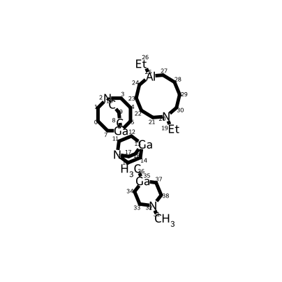 C1CN2CC[CH2][Ga]([CH2]1)[CH2]CC2.C1[CH2][Ga]2[CH2]CN1C[CH2]2.CCN1CCC[CH2][Al]([CH2]C)[CH2]CCC1.CN1C[CH2][Ga]([CH3])[CH2]C1